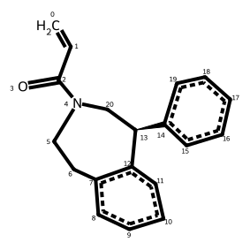 C=CC(=O)N1CCc2ccccc2[C@H](c2ccccc2)C1